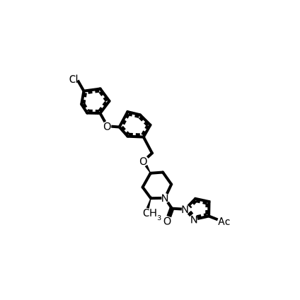 CC(=O)c1ccn(C(=O)N2CC[C@H](OCc3cccc(Oc4ccc(Cl)cc4)c3)C[C@@H]2C)n1